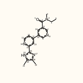 CCN(C)C(=O)c1cncc(-c2ccnc(-c3nc(C)c(C)[nH]3)c2)c1